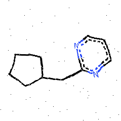 c1cnc(CC2CCCC2)nc1